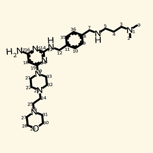 CN(C)CCCNCc1ccc(CNc2nc(N)cc(N3CCN(CCN4CCOCC4)CC3)n2)cc1